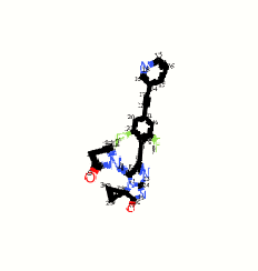 O=C1CCN1C1C(c2c(F)cc(C#Cc3cccnc3)cc2F)=NC2=NC(=O)C3(CC3)N21